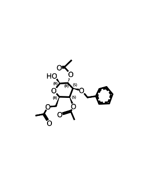 CC(=O)OC[C@H]1O[C@@H](O)[C@H](OC(C)=O)[C@@H](OCc2ccccc2)[C@H]1OC(C)=O